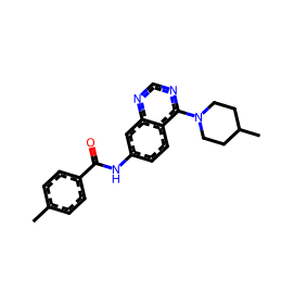 Cc1ccc(C(=O)Nc2ccc3c(N4CCC(C)CC4)ncnc3c2)cc1